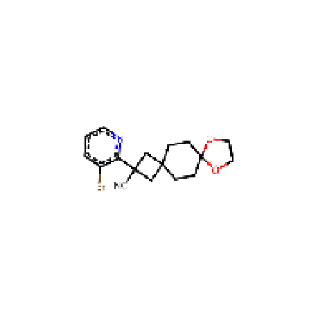 N#CC1(c2ncccc2Br)CC2(CCC3(CC2)OCCO3)C1